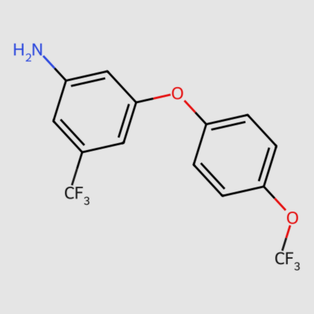 Nc1cc(Oc2ccc(OC(F)(F)F)cc2)cc(C(F)(F)F)c1